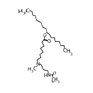 CCCCCCCCC(CCCCCCCC)OC(=O)CCCCCCCN(C)CCCNC(C)=O